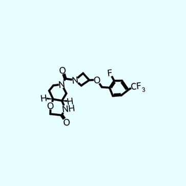 O=C1CO[C@@H]2CCN(C(=O)N3CC(OCc4ccc(C(F)(F)F)cc4F)C3)C[C@@H]2N1